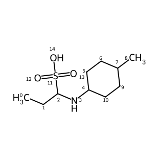 CCC(NC1CCC(C)CC1)S(=O)(=O)O